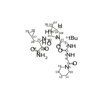 CC(C)(C)[C@H](NC(=O)NCC(=O)N1CCCCC1)C(=O)N1C[C@H]2[C@@H]([C@H]1C(=O)NC(CC1CC1)C(=O)C(N)=O)C2(C)C